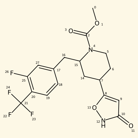 COC(=O)N1CCC(c2cc(=O)[nH]o2)CC1Cc1ccc(C(F)(F)F)c(F)c1